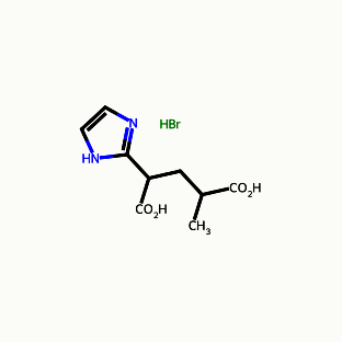 Br.CC(CC(C(=O)O)c1ncc[nH]1)C(=O)O